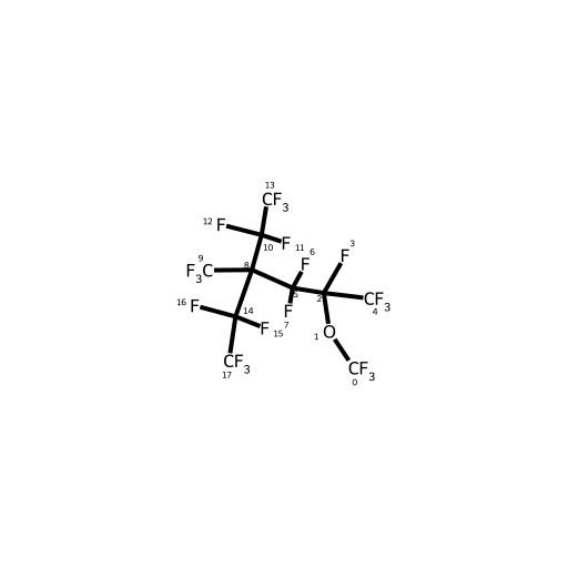 FC(F)(F)OC(F)(C(F)(F)F)C(F)(F)C(C(F)(F)F)(C(F)(F)C(F)(F)F)C(F)(F)C(F)(F)F